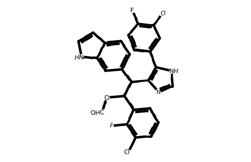 O=COC(c1cccc(Cl)c1F)C(c1ccc2cc[nH]c2c1)c1nc[nH]c1-c1ccc(F)c(Cl)c1